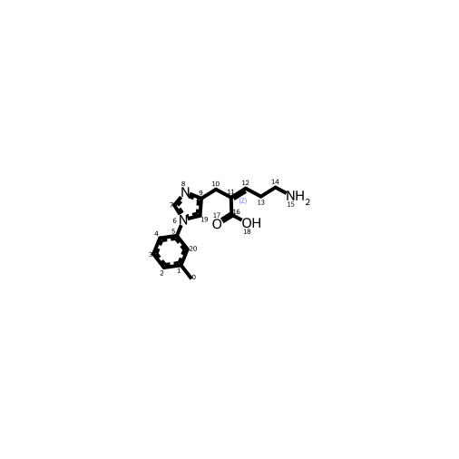 Cc1cccc(-n2cnc(C/C(=C/CCN)C(=O)O)c2)c1